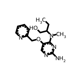 CCC(CO)N(C)c1nc(N)ncc1OCc1ccccn1